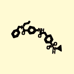 CCCN(Cc1ccccc1)C(=O)c1ccc(NC(=O)Cc2ccc(S(=O)(=O)NC3CC3)cc2)cc1